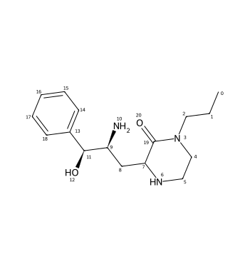 CCCN1CCNC(C[C@H](N)[C@@H](O)c2ccccc2)C1=O